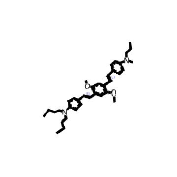 CCCCN(CCCC)c1ccc(/C=C/c2cc(OC)c(/C=C/c3ccc(N(C)CCC)cc3)cc2OC)cc1